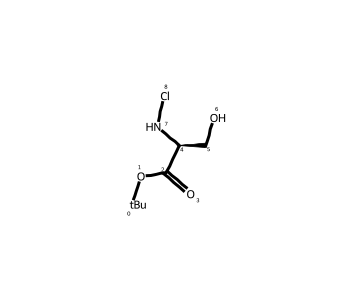 CC(C)(C)OC(=O)[C@H](CO)NCl